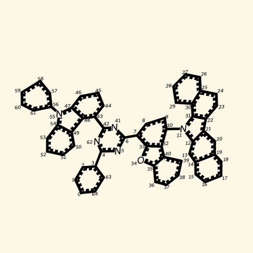 c1ccc(-c2nc(-c3ccc(-n4c5cc6ccccc6cc5c5ccc6ccccc6c54)c4c3oc3ccccc34)nc(-c3cccc4c3c3ccccc3n4-c3ccccc3)n2)cc1